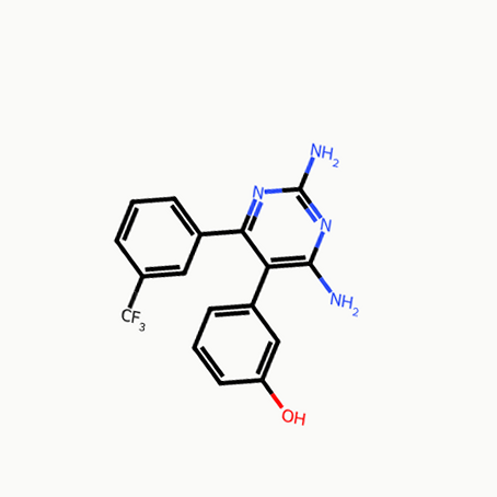 Nc1nc(N)c(-c2cccc(O)c2)c(-c2cccc(C(F)(F)F)c2)n1